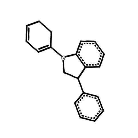 C1=CCCC(N2CC(c3ccccc3)c3ccccc32)=C1